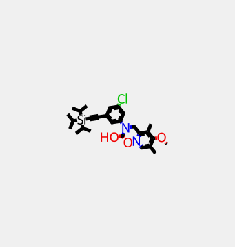 COc1c(C)cnc(CN(C(=O)O)c2cc(Cl)cc(C#C[Si](C(C)C)(C(C)C)C(C)C)c2)c1C